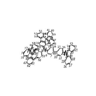 CC12CC(N(c3ccc(-c4ccc(-n5c6ccccc6c6ccccc65)cc4)cc3)c3ccc4c(c3)C(c3ccccc3)(c3ccccc3)c3ccccc3-4)=CC=C1C1=C(CCC=C1)C2(c1ccccc1)c1ccccc1